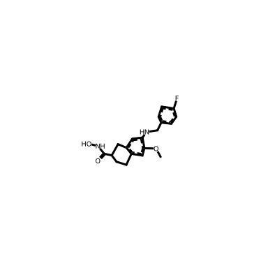 COc1cc2c(cc1NCc1ccc(F)cc1)CC(C(=O)NO)CC2